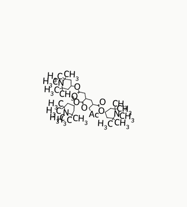 CC(=O)CC(CC(CC(=O)OC1CC(C)(C)N(C)C(C)(C)C1)C(=O)OC1CC(C)(C)N(C)C(C)(C)C1)C(=O)OC1CC(C)(C)N(C)C(C)(C)C1